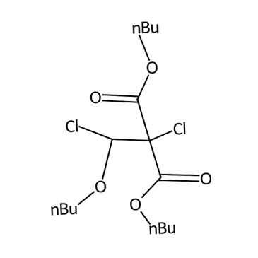 CCCCOC(=O)C(Cl)(C(=O)OCCCC)C(Cl)OCCCC